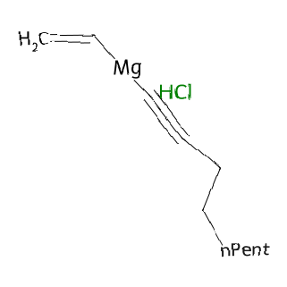 C=[CH][Mg][C]#CCCCCCCC.Cl